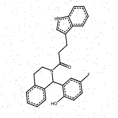 O=C(CCc1c[nH]c2ccccc12)N1CCc2ccccc2C1c1cc(F)ccc1O